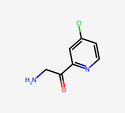 NCC(=O)c1cc(Cl)ccn1